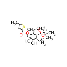 CCC1=C(C)C(C)(C=CC(=O)c2cc(C)cs2)C(OC)C(CC)=C1C(=O)OC(C)(C)C